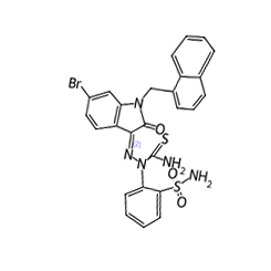 NC(=S)N(/N=C1\C(=O)N(Cc2cccc3ccccc23)c2cc(Br)ccc21)c1ccccc1S(N)(=O)=O